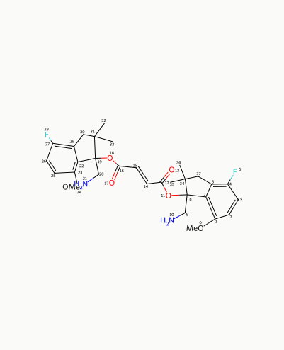 COc1ccc(F)c2c1C(CN)(OC(=O)/C=C/C(=O)OC1(CN)c3c(OC)ccc(F)c3CC1(C)C)C(C)(C)C2